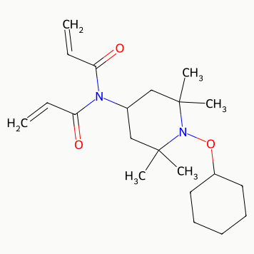 C=CC(=O)N(C(=O)C=C)C1CC(C)(C)N(OC2CCCCC2)C(C)(C)C1